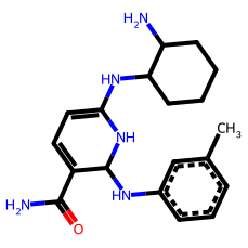 Cc1cccc(NC2NC(NC3CCCCC3N)=CC=C2C(N)=O)c1